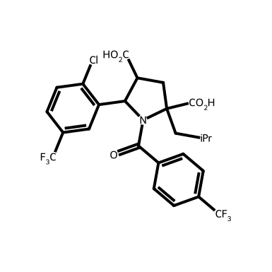 CC(C)CC1(C(=O)O)CC(C(=O)O)C(c2cc(C(F)(F)F)ccc2Cl)N1C(=O)c1ccc(C(F)(F)F)cc1